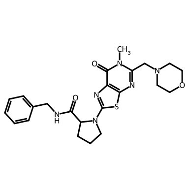 Cn1c(CN2CCOCC2)nc2sc(N3CCCC3C(=O)NCc3ccccc3)nc2c1=O